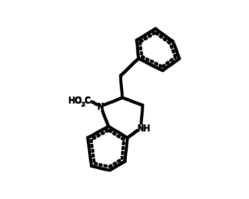 O=C(O)N1c2ccccc2NCC1Cc1ccccc1